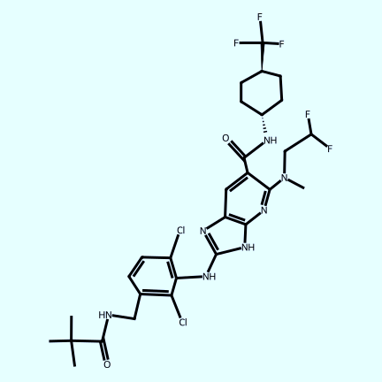 CN(CC(F)F)c1nc2[nH]c(Nc3c(Cl)ccc(CNC(=O)C(C)(C)C)c3Cl)nc2cc1C(=O)N[C@H]1CC[C@H](C(F)(F)F)CC1